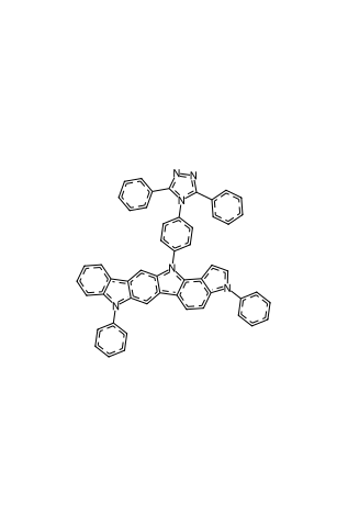 c1ccc(-c2nnc(-c3ccccc3)n2-c2ccc(-n3c4cc5c6ccccc6n(-c6ccccc6)c5cc4c4ccc5c(ccn5-c5ccccc5)c43)cc2)cc1